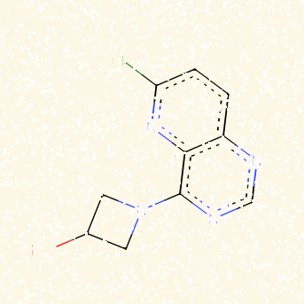 OC1CN(c2ncnc3ccc(Cl)nc23)C1